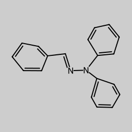 C(=N\N(c1ccccc1)c1ccccc1)/c1ccccc1